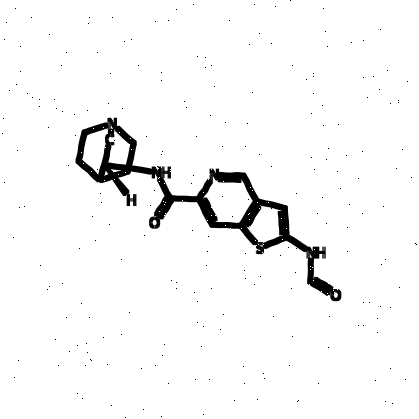 O=CNc1cc2cnc(C(=O)N[C@H]3CN4CCC3CC4)cc2s1